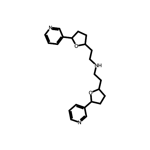 c1cncc(C2CCC(CCNCCC3CCC(c4cccnc4)O3)O2)c1